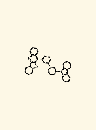 c1cc(-c2cccc(-n3c4ccccc4c4ccccc43)c2)cc(-c2c3ccccc3nc3c2oc2ccccc23)c1